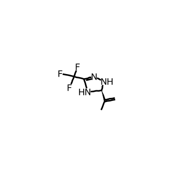 C=C(C)[C@@H]1NN=C(C(F)(F)F)N1